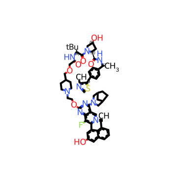 C#Cc1cccc2cc(O)cc(-c3ncc4c(N5CC6CCC(C6)C5)nc(OCCN5CCC(COCC(=O)N[C@H](C(=O)N6C[C@H](O)C[C@H]6C(=O)N[C@@H](C)c6ccc(-c7scnc7C)cc6)C(C)(C)C)CC5)nc4c3F)c12